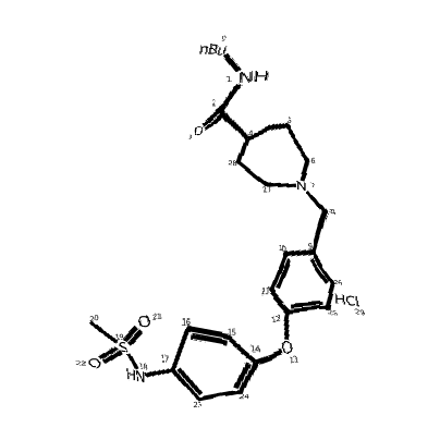 CCCCNC(=O)C1CCN(Cc2ccc(Oc3ccc(NS(C)(=O)=O)cc3)cc2)CC1.Cl